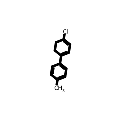 Cc1ccc(C2=CC=C(Cl)CC2)cc1